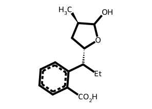 CCC(c1ccccc1C(=O)O)[C@@H]1C[C@@H](C)C(O)O1